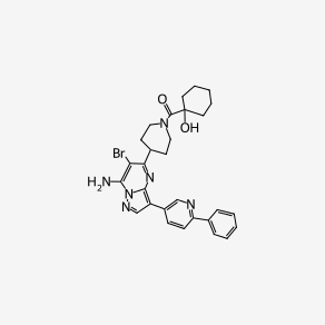 Nc1c(Br)c(C2CCN(C(=O)C3(O)CCCCC3)CC2)nc2c(-c3ccc(-c4ccccc4)nc3)cnn12